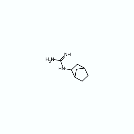 N=C(N)NC1CC2CCC1C2